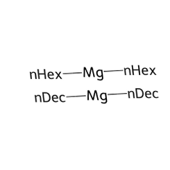 CCCCCCCCC[CH2][Mg][CH2]CCCCCCCCC.CCCCC[CH2][Mg][CH2]CCCCC